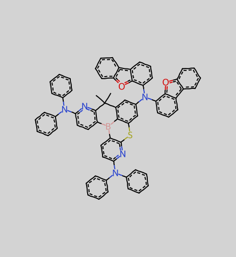 CC1(C)c2cc(N(c3cccc4c3oc3ccccc34)c3cccc4c3oc3ccccc34)cc3c2B(c2ccc(N(c4ccccc4)c4ccccc4)nc2S3)c2ccc(N(c3ccccc3)c3ccccc3)nc21